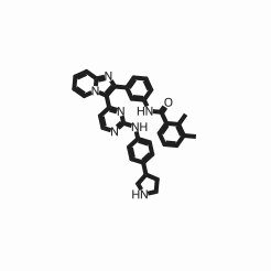 Cc1cccc(C(=O)Nc2cccc(-c3nc4ccccn4c3-c3ccnc(Nc4ccc(C5CCNC5)cc4)n3)c2)c1C